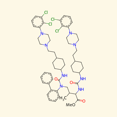 COC(=O)C(NC(=O)NC1CCC(CCN2CCN(c3cccc(Cl)c3Cl)CC2)CC1)C(C)CN(C(=O)NC1CCC(CCN2CCN(c3cccc(Cl)c3Cl)CC2)CC1)c1ccccc1-c1ccccc1